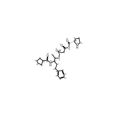 CC(O[PH](=O)CC(=O)OC(=O)[C@@H]1CCCN1)C(CCc1ccccc1)NC(=O)C1CCCC1